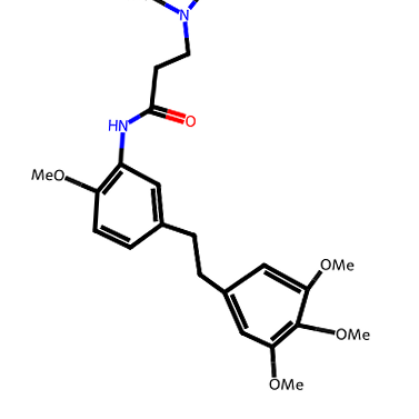 CCCN(CCC)CCC(=O)Nc1cc(CCc2cc(OC)c(OC)c(OC)c2)ccc1OC